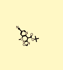 COc1cc(C#N)cnc1C(C(=O)OC(C)(C)C)c1ncon1